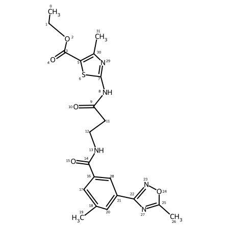 CCOC(=O)c1sc(NC(=O)CCNC(=O)c2cc(C)cc(-c3noc(C)n3)c2)nc1C